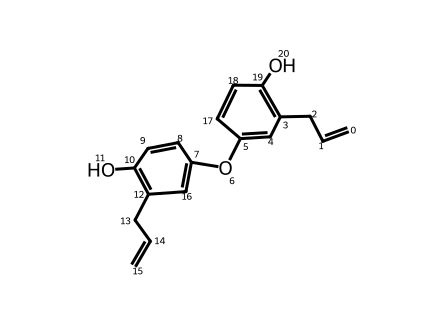 C=CCc1cc(Oc2ccc(O)c(CC=C)c2)ccc1O